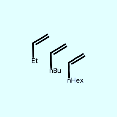 C=CCC.C=CCCCC.C=CCCCCCC